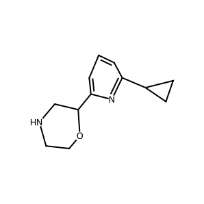 c1cc(C2CC2)nc(C2CNCCO2)c1